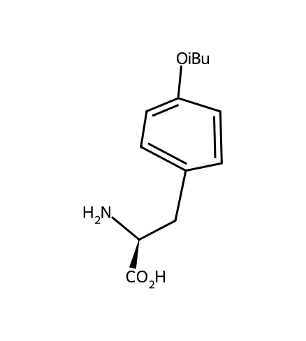 CC(C)COc1ccc(C[C@H](N)C(=O)O)cc1